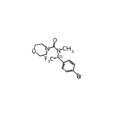 CN(C(=O)N1CCOCC1)[C@@H](c1ccc(Br)cc1)C(F)(F)F